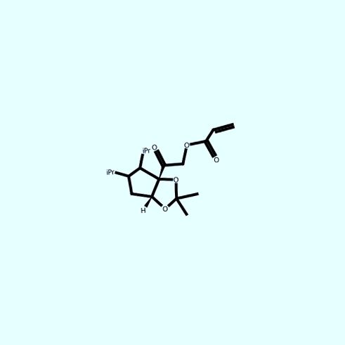 C=CC(=O)OCC(=O)[C@@]12OC(C)(C)O[C@@H]1CC(C(C)C)C2C(C)C